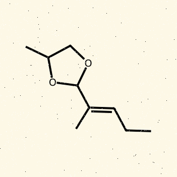 CCC=C(C)C1OCC(C)O1